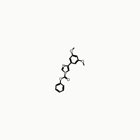 COc1cc(OC)cc(-c2cn(C(=O)Oc3ccccc3)cn2)c1